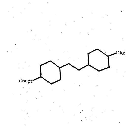 CCCCCCCC1CCC(CCC2CCC(OC(C)=O)CC2)CC1